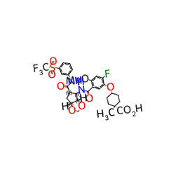 COc1cc(F)c(O[C@H]2CC[C@@](C)(C(=O)O)CC2)cc1C(=O)N[C@H]1[C@@H]2OCO[C@@H]2C[C@H]1C(=O)Nc1cccc(S(=O)(=O)C(F)(F)F)c1